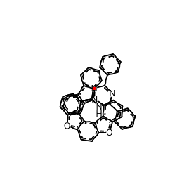 c1ccc(C2=NC(c3ccccc3)NC(c3cccc4oc5ccc6oc7cccc(-n8c9ccccc9c9ccccc98)c7c6c5c34)=N2)cc1